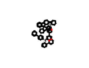 c1ccc(-c2ccc(N(c3cccc(-c4ccc(-n5c6ccccc6c6ccc7c(c65)C5(c6ccccc6-c6ccccc65)c5ccccc5-7)cc4)c3)c3ccccc3-c3ccccc3)cc2)cc1